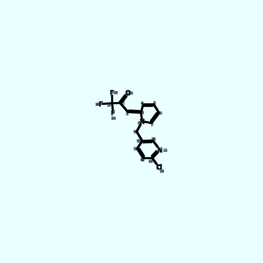 O=C(/C=C1\C=CC=CN1Cc1ccc(Cl)nc1)C(F)(F)F